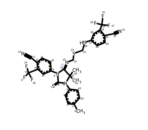 Cc1ccc(N2C(=S)N(c3ccc(C#N)c(C(F)(F)F)c3)/C(=N/CSCNc3ccc(C#N)c(C(F)(F)F)c3)C2(C)C)cc1